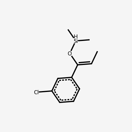 CC=C(O[SiH](C)C)c1cccc(Cl)c1